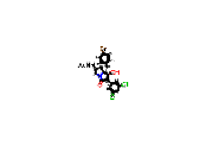 CC(=O)N[C@@H]1CN2C(=O)C(c3cc(Cl)cc(Cl)c3)=C(O)[C@]2(Cc2ccc(Br)cc2)C1